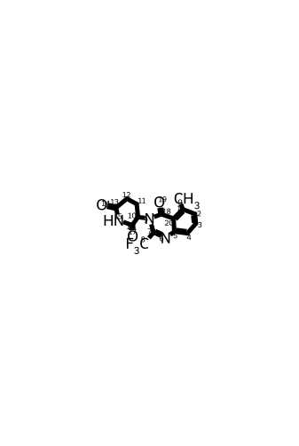 Cc1cccc2nc(C(F)(F)F)n(C3CCC(=O)NC3=O)c(=O)c12